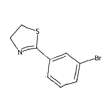 Brc1cc[c]c(C2=NCCS2)c1